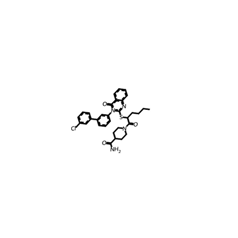 CCCCC(Sc1nc2ccccc2c(=O)n1-c1cccc(-c2cccc(Cl)c2)c1)C(=O)N1CCC(C(N)=O)CC1